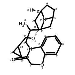 CC(CN1C(=O)COc2ccccc21)CN1C2CC[C@@H]1C[C@@H](OCC1CC1)C2